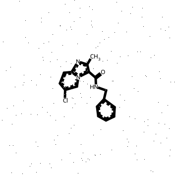 Cc1nc2ccc(Cl)cn2c1C(=O)NCc1ccccc1